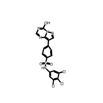 O=S(=O)(Nc1cc(Cl)c(Cl)c(Cl)c1)c1ccc(-c2cnn3c(O)ncnc23)cc1